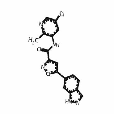 Cc1ncc(Cl)cc1NC(=O)c1cc(-c2ccc3cn[nH]c3c2)on1